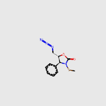 CSN1C(=O)O[C@@H](CN=[N+]=[N-])[C@@H]1c1ccccc1